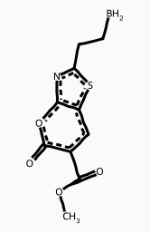 BCCc1nc2oc(=O)c(C(=O)OC)cc2s1